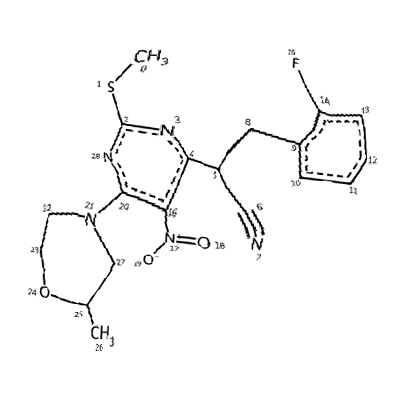 CSc1nc(C(C#N)Cc2ccccc2F)c([N+](=O)[O-])c(N2CCOC(C)C2)n1